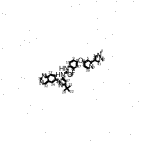 Cn1cc(-c2cc(Oc3ccc(NC(=O)Nc4cc(C(C)(C)C)nn4-c4ccc5ncncc5c4)c(F)c3)ccn2)cn1